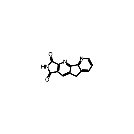 O=C1NC(=O)c2nc3c(cc21)Cc1cccnc1-3